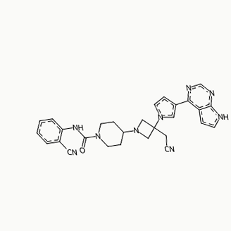 N#CCC1(n2ccc(-c3ncnc4[nH]ccc34)c2)CN(C2CCN(C(=O)Nc3ccccc3C#N)CC2)C1